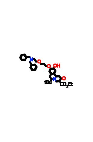 CCOC(=O)c1cn2c(cc1=O)-c1cc(O)c(OCCCOCCN(Cc3ccccc3)Cc3ccccc3)cc1CC2C(C)(C)C